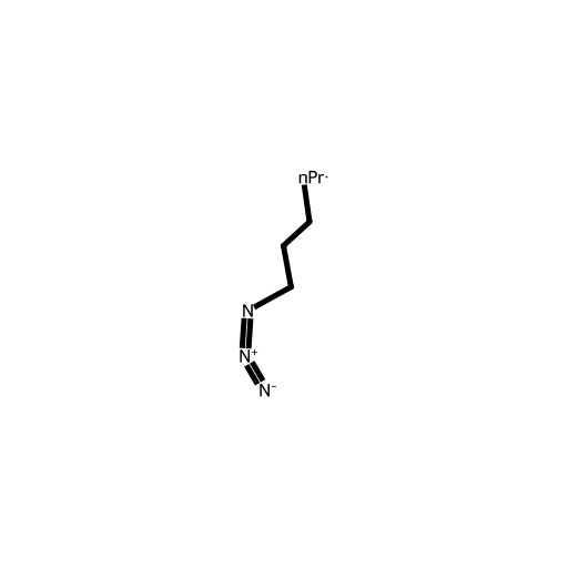 CC[CH]CCCN=[N+]=[N-]